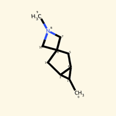 CC1C2CC3(CC12)CN(C)C3